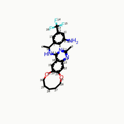 Cc1nc(NC(C)c2cc(N)cc(C(F)(F)F)c2)c2cc3c(cc2n1)OCCCCCO3